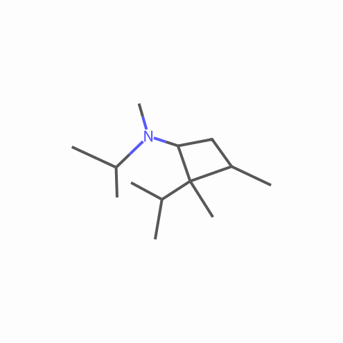 CC(C)N(C)C1CC(C)C1(C)C(C)C